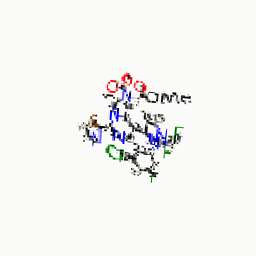 COC(=O)CN1C(=O)OC[C@]12CC1=C(c3ccn(C(F)F)n3)[C@H](c3ccc(F)cc3Cl)N=C(c3nccs3)N1C2